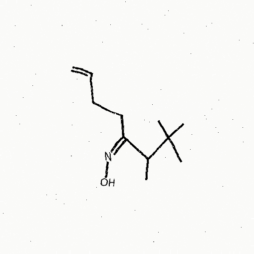 C=CCCC(=NO)C(C)C(C)(C)C